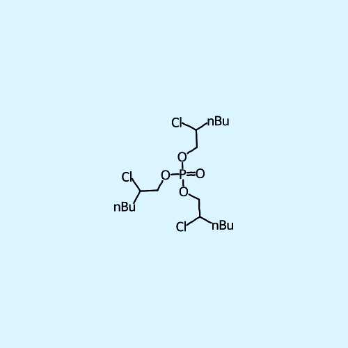 CCCCC(Cl)COP(=O)(OCC(Cl)CCCC)OCC(Cl)CCCC